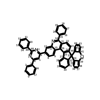 c1ccc(-c2cc(-c3ccc4c(c3)nc(-c3ccccc3)c3ccc5c(c34)-c3ccccc3C53c4ccccc4Oc4ccccc43)nc(-c3ccccc3)n2)cc1